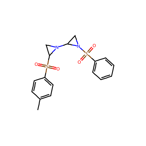 Cc1ccc(S(=O)(=O)C2CN2[C]2CN2S(=O)(=O)c2ccccc2)cc1